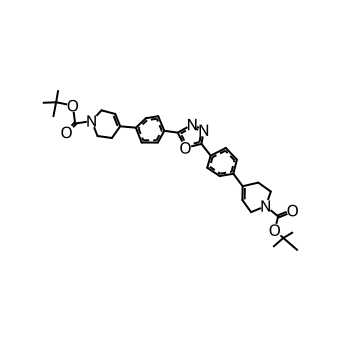 CC(C)(C)OC(=O)N1CC=C(c2ccc(-c3nnc(-c4ccc(C5=CCN(C(=O)OC(C)(C)C)CC5)cc4)o3)cc2)CC1